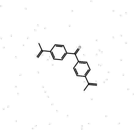 C=C(C)c1ccc(C(=O)c2ccc(C(=C)C)cc2)cc1